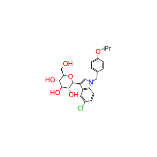 CC(C)Oc1ccc(Cn2cc([C@@H]3O[C@H](CO)[C@@H](O)[C@H](O)[C@H]3O)c3cc(Cl)ccc32)cc1